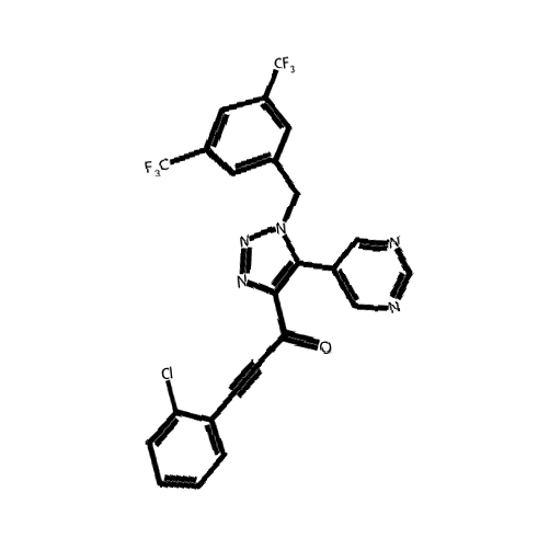 O=C(C#Cc1ccccc1Cl)c1nnn(Cc2cc(C(F)(F)F)cc(C(F)(F)F)c2)c1-c1cncnc1